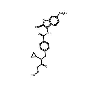 CCOC(=O)c1ccc2c(c1)sc(=N)n2NC(=O)c1ccc(CN(C(=O)COC(C)(C)C)C2CC2)cc1